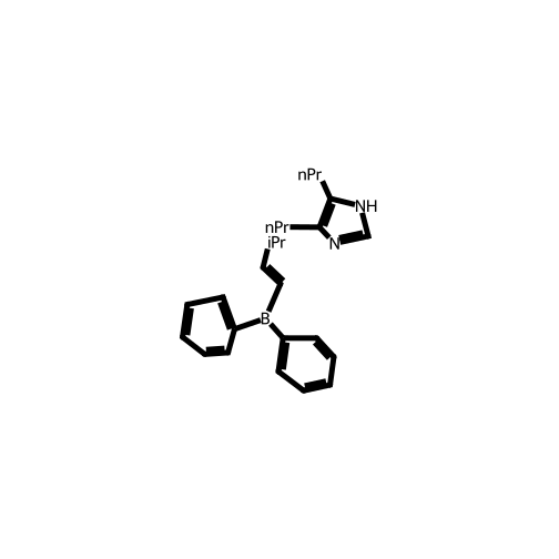 CC(C)C=CB(c1ccccc1)c1ccccc1.CCCc1nc[nH]c1CCC